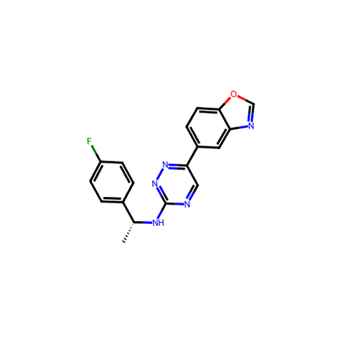 C[C@@H](Nc1ncc(-c2ccc3ocnc3c2)nn1)c1ccc(F)cc1